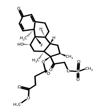 COC(=O)CCC(=O)O[C@]1(C(=O)COS(C)(=O)=O)[C@H](C)C[C@H]2[C@@H]3CCC4=CC(=O)C=C[C@]4(C)[C@@]3(F)[C@@H](O)C[C@@]21C